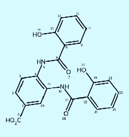 O=C(O)c1ccc(NC(=O)c2ccccc2O)c(NC(=O)c2ccccc2O)c1